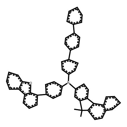 CC1(C)c2cc(N(c3ccc(-c4ccc(-c5ccccc5)cc4)cc3)c3ccc(-c4cccc5c4oc4ccccc45)cc3)ccc2-c2c1ccc1ccccc21